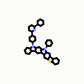 c1ccc(-c2cccc(-c3ccc(-n4c5ccccc5c5cc6c7cc8sc9ccccc9c8cc7n(-c7ccccc7)c6cc54)cc3)n2)cc1